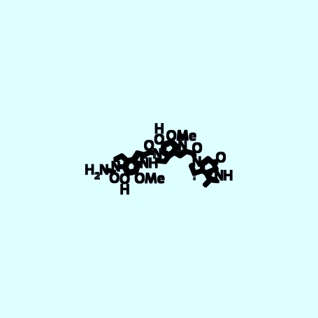 COc1c(O)c2c(c3cc(C(=O)N4CCc5c4c(O)c(OC)c4[nH]c(C(=O)N6C[C@@H](C)C7C6=CC(=O)c6[nH]cc(C)c67)cc54)[nH]c13)CCN2C(N)=O